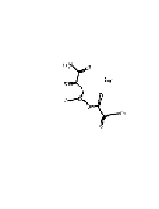 NC(=O)C(=O)OB([O-])OC(=O)C(N)=O.[Na+]